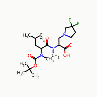 CC(C)CC(C(=O)N(C)C(CN1CCC(F)(F)C1)C(=O)O)N(C)C(=O)OC(C)(C)C